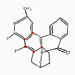 Cc1cnc(OC2CC3CCC2N(C(=O)c2ccccc2-c2ncc(F)cn2)C3)c(F)n1